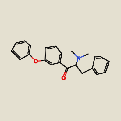 CN(C)C(Cc1ccccc1)C(=O)c1cccc(Oc2ccccc2)c1